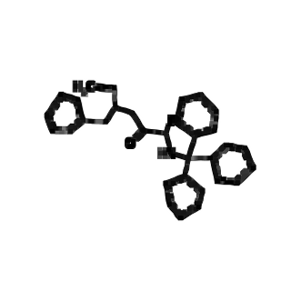 C=CC(CC(=O)C(NC(c1ccccc1)(c1ccccc1)c1ccccc1)C(C)C)Cc1ccccc1